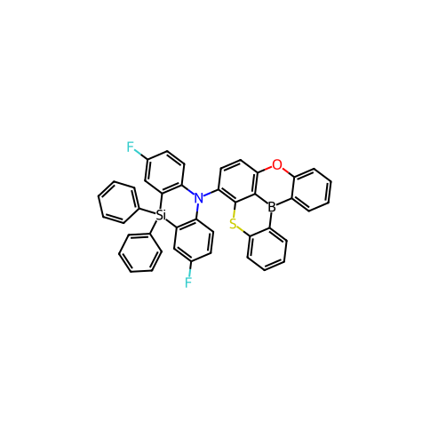 Fc1ccc2c(c1)[Si](c1ccccc1)(c1ccccc1)c1cc(F)ccc1N2c1ccc2c3c1Sc1ccccc1B3c1ccccc1O2